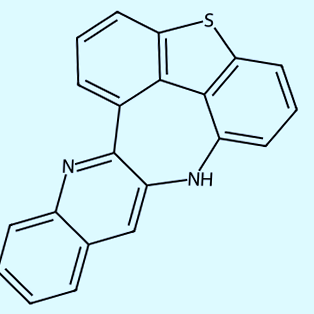 c1ccc2nc3c(cc2c1)[nH]c1cccc2sc4cccc3c4c12